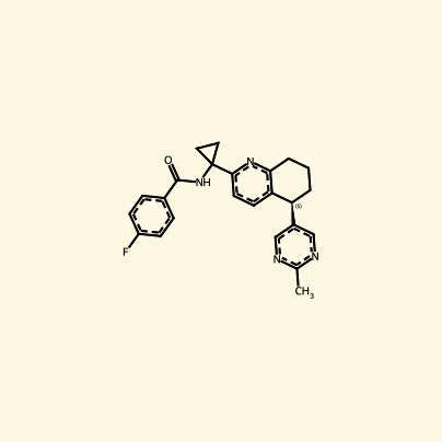 Cc1ncc([C@@H]2CCCc3nc(C4(NC(=O)c5ccc(F)cc5)CC4)ccc32)cn1